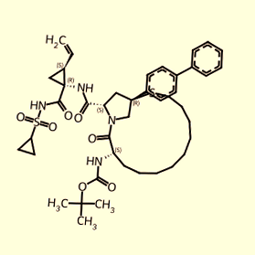 C=C[C@@H]1C[C@]1(NC(=O)[C@@H]1C[C@@]2(c3ccc(-c4ccccc4)cc3)CN1C(=O)[C@@H](NC(=O)OC(C)(C)C)CCCCCCCCCS2)C(=O)NS(=O)(=O)C1CC1